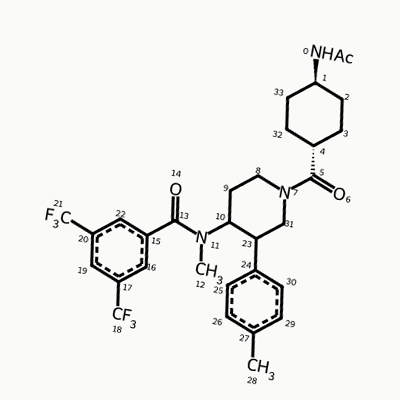 CC(=O)N[C@H]1CC[C@H](C(=O)N2CCC(N(C)C(=O)c3cc(C(F)(F)F)cc(C(F)(F)F)c3)C(c3ccc(C)cc3)C2)CC1